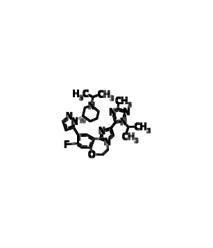 Cc1nc(-c2cn3c(n2)-c2cc(-c4ccnn4[C@H]4CCCN(C(C)C)C4)c(F)cc2OCC3)n(C(C)C)n1